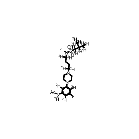 [2H]c1c(F)c([2H])c(N([2H])C(C)=O)c([2H])c1N1CCN(C([2H])([2H])CCC([2H])([2H])N([2H])S(=O)(=O)C([2H])([2H])C([2H])(C([2H])([2H])[2H])C([2H])([2H])[2H])CC1